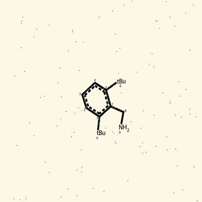 CC(C)(C)c1c[c]cc(C(C)(C)C)c1CN